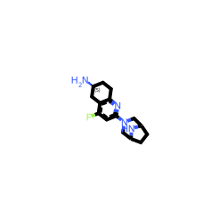 N[C@H]1CCc2nc(N3CC4CCC(C3)N4)cc(F)c2C1